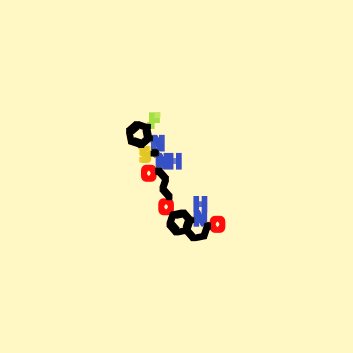 O=C(CCCOc1ccc2c(c1)NC(=O)CC2)Nc1nc2c(F)cccc2s1